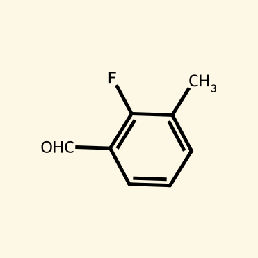 Cc1cccc(C=O)c1F